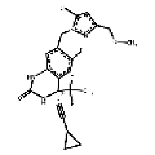 COCc1cc(Cl)n(Cc2cc3c(cc2F)[C@@](C#CC2CC2)(C(C)(F)F)NC(=O)N3)n1